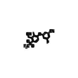 Cc1c(Oc2cc(F)cc(C#N)c2)ccc(S(=O)(=O)C(F)(F)F)c1CO